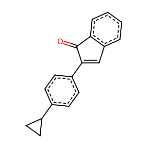 O=C1C(c2ccc(C3CC3)cc2)=Cc2ccccc21